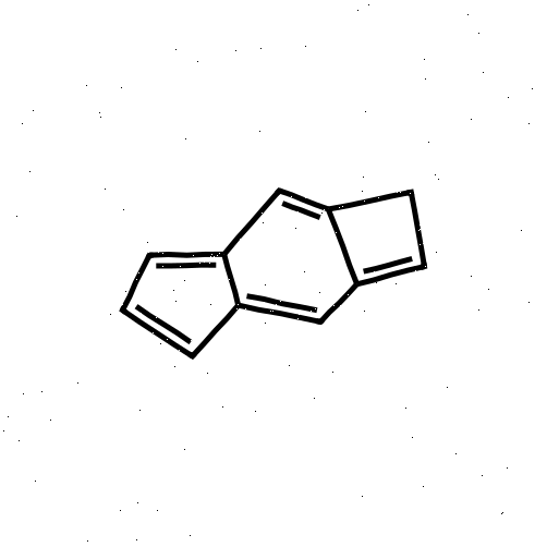 C1=Cc2cc3c(cc2=C1)CC=3